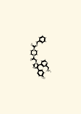 NCc1cc(-c2c(-c3ccc(Cl)cc3)ncn2CC(=O)N2CCN(C(=O)OCc3ccccc3)CC2)ccn1